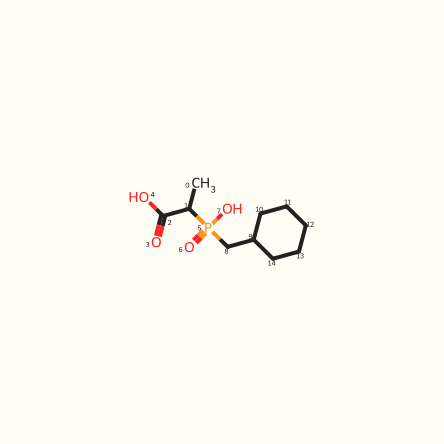 CC(C(=O)O)P(=O)(O)CC1CCCCC1